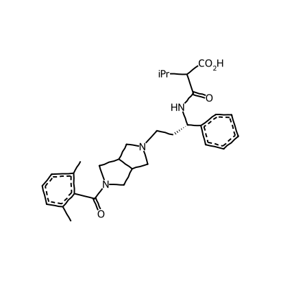 Cc1cccc(C)c1C(=O)N1CC2CN(CC[C@H](NC(=O)C(C(=O)O)C(C)C)c3ccccc3)CC2C1